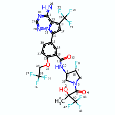 CC(O)(C(=O)N1C[C@H](F)[C@H](NC(=O)c2cc(-c3cc(C(F)(F)F)c4c(N)ncnn34)ccc2OCC(F)(F)F)C1)C(F)(F)F